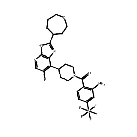 Nc1cc(S(F)(F)(F)(F)F)ccc1C(=O)N1CCC(c2c(F)cnc3[nH]c(C4CCCOCC4)nc23)CC1